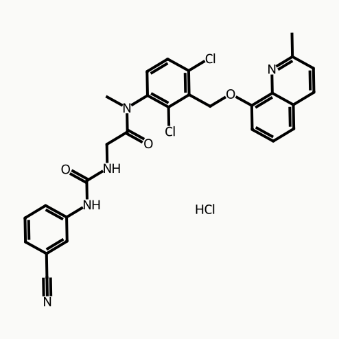 Cc1ccc2cccc(OCc3c(Cl)ccc(N(C)C(=O)CNC(=O)Nc4cccc(C#N)c4)c3Cl)c2n1.Cl